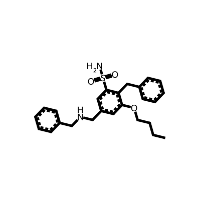 CCCCOc1cc(CNCc2ccccc2)cc(S(N)(=O)=O)c1Cc1ccccc1